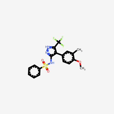 COc1ccc(-c2c(NS(=O)(=O)c3ccccc3)n[nH]c2C(F)(F)F)cc1C